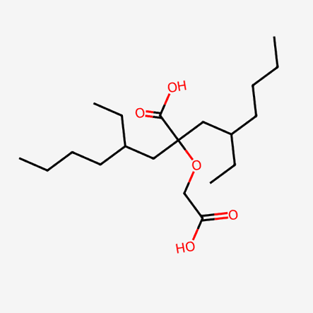 CCCCC(CC)CC(CC(CC)CCCC)(OCC(=O)O)C(=O)O